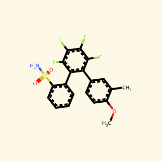 COc1ccc(-c2c(F)c(F)c(F)c(F)c2-c2ccccc2S(N)(=O)=O)cc1C